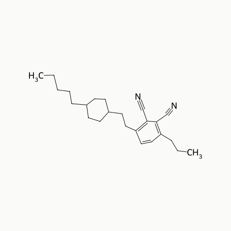 CCCCCC1CCC(CCc2ccc(CCC)c(C#N)c2C#N)CC1